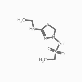 CCNC1=NN(NS(=O)(=O)CC)CS1